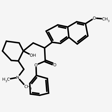 COc1ccc2cc(C(CC3(O)CCCCC3CN(C)C)C(=O)Oc3ccccc3)ccc2c1